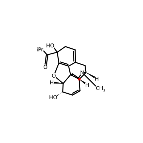 CC(C)C(=O)C1(O)CC=C2C[C@@H]3[C@@H]4C=C[C@H](O)[C@@H]5OC1=C2[C@]45CCN3C